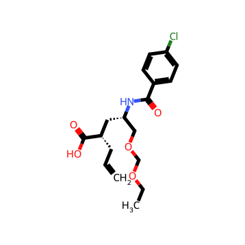 C=CC[C@@H](C[C@@H](COCOCC)NC(=O)c1ccc(Cl)cc1)C(=O)O